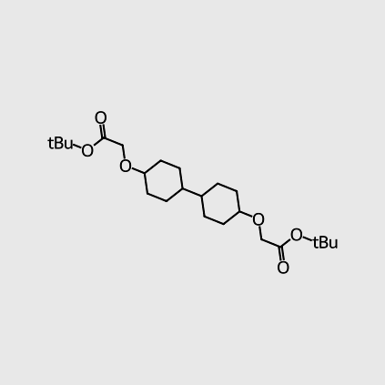 CC(C)(C)OC(=O)COC1CCC(C2CCC(OCC(=O)OC(C)(C)C)CC2)CC1